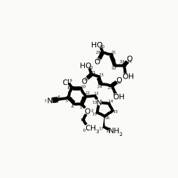 CCOc1cc(C#N)c(Cl)cc1CN1CC[C@@H](CN)C1.O=C(O)/C=C/C(=O)O.O=C(O)/C=C/C(=O)O